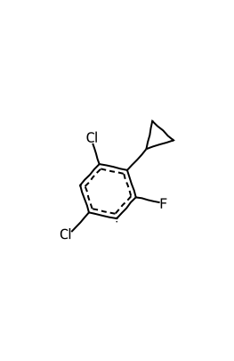 Fc1[c]c(Cl)cc(Cl)c1C1CC1